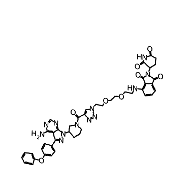 Nc1ncnc2c1c(-c1ccc(Oc3ccccc3)cc1)nn2C1CCCN(C(=O)c2cn(CCOCCOCCNc3cccc4c3C(=O)N(C3CCC(=O)NC3=O)C4=O)nn2)C1